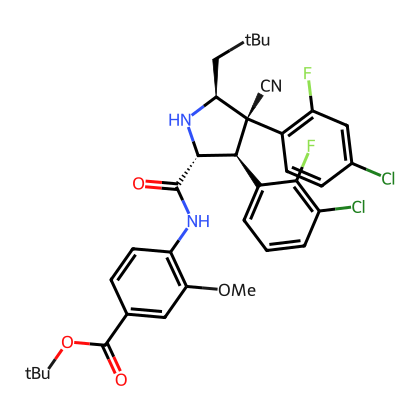 COc1cc(C(=O)OC(C)(C)C)ccc1NC(=O)[C@@H]1N[C@@H](CC(C)(C)C)[C@](C#N)(c2ccc(Cl)cc2F)[C@H]1c1cccc(Cl)c1F